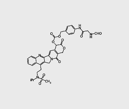 CC(C)N(CCc1c2c(nc3ccccc13)-c1cc3c(c(=O)n1C2)COC(=O)C3OC(=O)OCc1ccc(NC(=O)CNC=O)cc1)S(C)(=O)=O